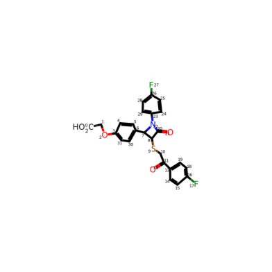 O=C(O)COc1ccc(C2C(SCC(=O)c3ccc(F)cc3)C(=O)N2c2ccc(F)cc2)cc1